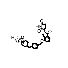 CS(=O)(=O)N1CCC(Cc2ccc(COc3cccc4c3CN(C3CCC(=O)NC3=O)C4=O)cc2)CC1